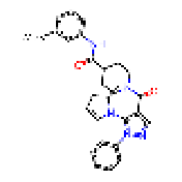 CSc1cccc(NC(=O)C2CCN(C(=O)c3cnn(-c4ccccc4)c3N3C=CCC3C)CC2)c1